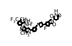 Cc1c([C@@H](C)Nc2nnc(C)c3cnc(-c4cccc(CN5CCC(c6cc7c(cc6F)C(=O)N(C6CCC(=O)NC6=O)C7)CC5)c4)cc23)cccc1C(F)(F)F